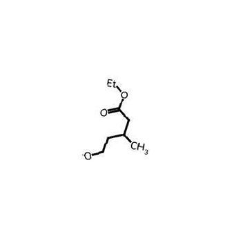 CCOC(=O)CC(C)CC[O]